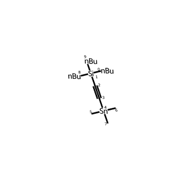 CCCC[Si](C#[C][Sn]([CH3])([CH3])[CH3])(CCCC)CCCC